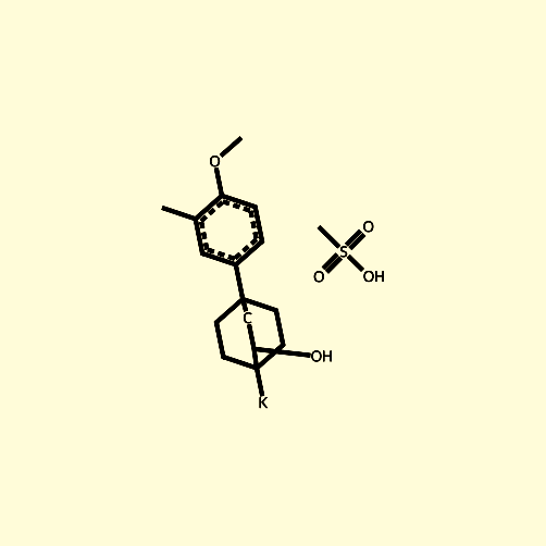 COc1ccc(C23CC[C]([K])(CC2)C(O)C3)cc1C.CS(=O)(=O)O